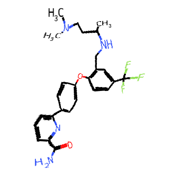 CC(CCN(C)C)NCc1cc(C(F)(F)F)ccc1Oc1ccc(-c2cccc(C(N)=O)n2)cc1